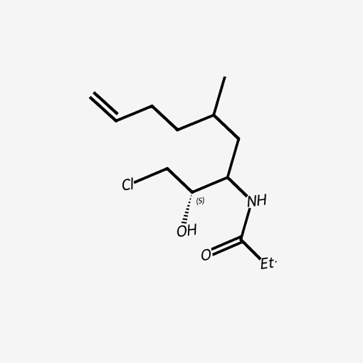 C=CCCC(C)CC(NC(=O)[CH]C)[C@H](O)CCl